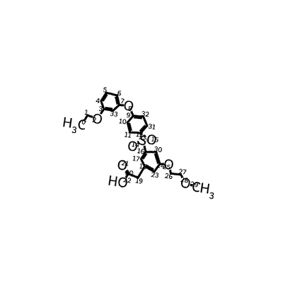 CCOc1cccc(Oc2ccc(S(=O)(=O)c3cc(CC(=O)O)cc(OCCOC)c3)cc2)c1